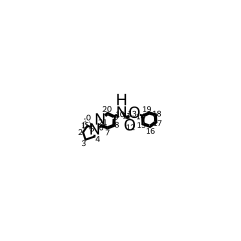 C[C@H]1CCCN1c1ccc(NC(=O)Oc2ccccc2)cn1